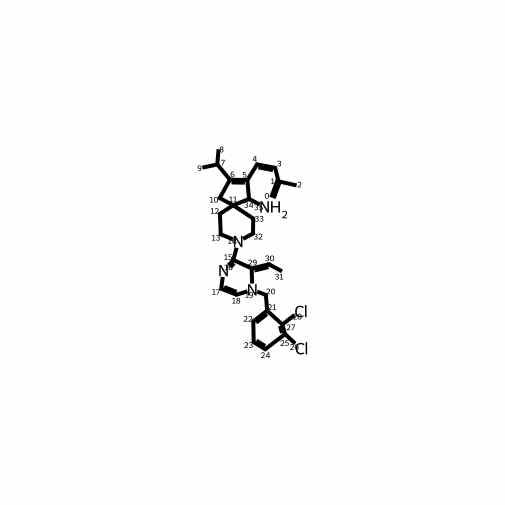 C=C(C)/C=C\C1=C(C(C)C)CC2(CCN(C3=NC=CN(Cc4cccc(Cl)c4Cl)/C3=C\C)CC2)C1N